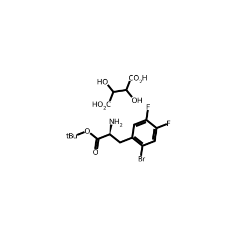 CC(C)(C)OC(=O)[C@@H](N)Cc1cc(F)c(F)cc1Br.O=C(O)C(O)C(O)C(=O)O